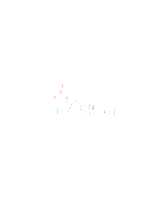 Cc1c([C@@H](O)CN2CC3BCCC3C2)ccc2c1COC2=O